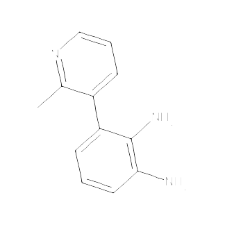 Cc1ncccc1-c1cccc(N)c1N